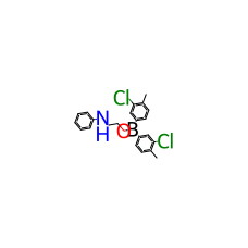 Cc1ccc(B(OCCNc2ccccc2)c2ccc(C)c(Cl)c2)cc1Cl